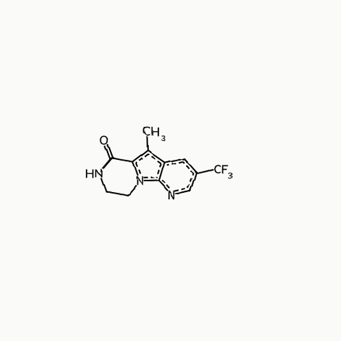 Cc1c2n(c3ncc(C(F)(F)F)cc13)CCNC2=O